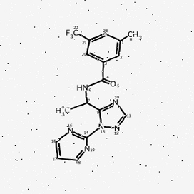 Cc1cc(C(=O)NC(C)c2ncnn2-c2ncccn2)cc(C(F)(F)F)c1